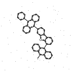 Ic1c2ccccc2c(-c2cccc3c2oc2cc(-c4c5ccccc5c(-c5ccccc5)c5ccccc45)ccc23)c2ccccc12